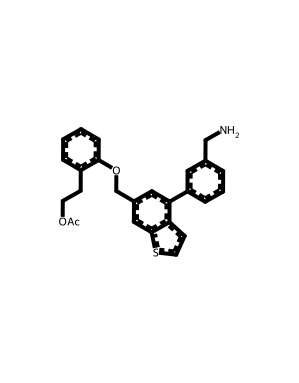 CC(=O)OCCc1ccccc1OCc1cc(-c2cccc(CN)c2)c2ccsc2c1